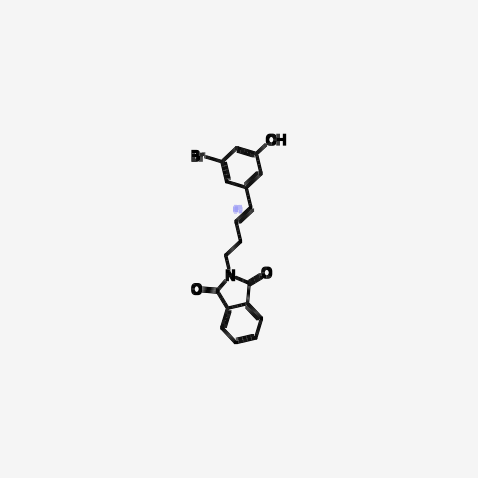 O=C1c2ccccc2C(=O)N1CC/C=C/c1cc(O)cc(Br)c1